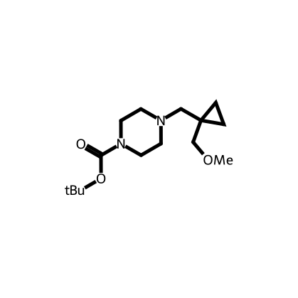 COCC1(CN2CCN(C(=O)OC(C)(C)C)CC2)CC1